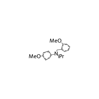 COc1ccc(N(Cc2ccccc2OC)C(C)C)cc1